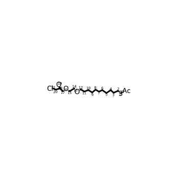 CC(=O)SCCCCCCCCCCCOCCOCC(=O)CCl